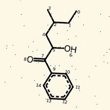 CCC(C)CC(O)C(=O)c1ccccc1